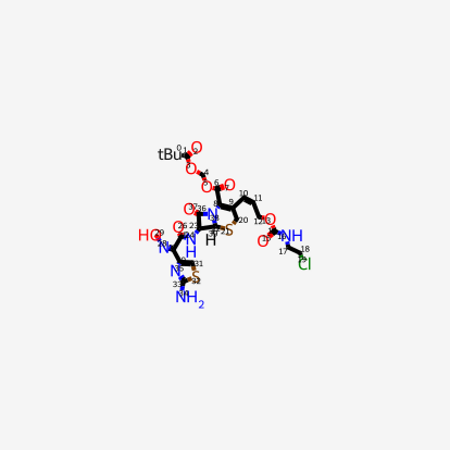 CC(C)(C)C(=O)OCOC(=O)C1=C(/C=C\COC(=O)NCCCl)CS[C@H]2C(NC(=O)/C(=N\O)c3csc(N)n3)C(=O)N12